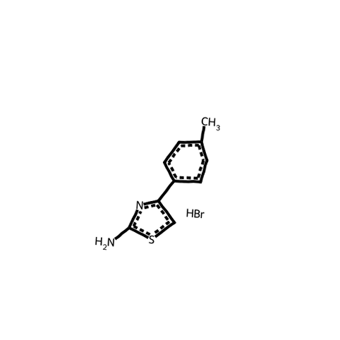 Br.Cc1ccc(-c2csc(N)n2)cc1